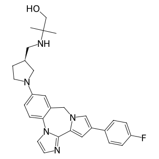 CC(C)(CO)NC[C@@H]1CCN(c2ccc3c(c2)Cn2cc(-c4ccc(F)cc4)cc2-c2nccn2-3)C1